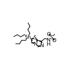 CCC[CH2][Sn]([CH2]CCC)([CH2]CCC)[c]1cn2cnc(CNS(C)(=O)=O)c2s1